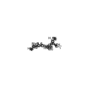 COc1cc(N2CC[C@H](OCC(=O)N[C@H](C(=O)N3CCC[C@H]3C(=O)NCc3ccc(-c4ccnn4C)cc3OCCN(C)C)C(C)(C)C)C[C@@H]2C)ccc1NC(=O)c1cccc(-c2ccn[nH]2)n1